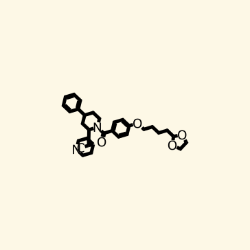 O=C(c1ccc(OCCCCC2OCCO2)cc1)N1CCC(c2ccccc2)CC1C1CN2CCC1CC2